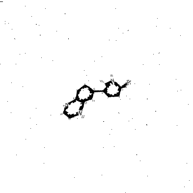 CC(C)c1ccc(-c2ccc3nccnc3c2)cn1